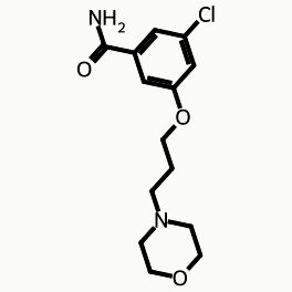 NC(=O)c1cc(Cl)cc(OCCCN2CCOCC2)c1